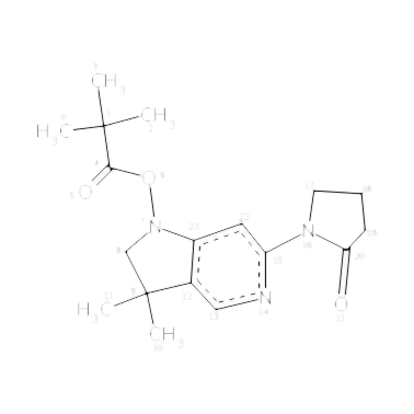 CC(C)(C)C(=O)ON1CC(C)(C)c2cnc(N3CCCC3=O)cc21